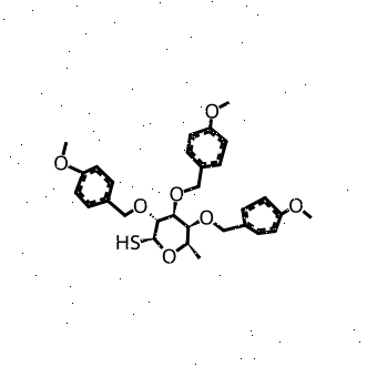 COc1ccc(CO[C@@H]2[C@@H](OCc3ccc(OC)cc3)[C@H](S)O[C@H](C)[C@@H]2OCc2ccc(OC)cc2)cc1